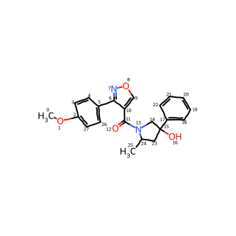 COc1ccc(-c2nocc2C(=O)N2CC(O)(c3ccccc3)CC2C)cc1